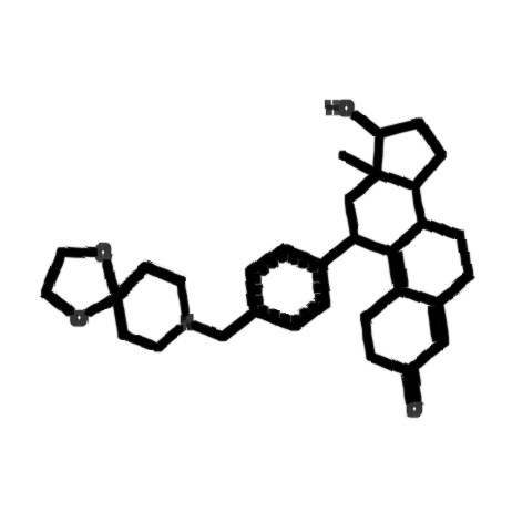 CC12CC(c3ccc(CN4CCC5(CC4)OCCO5)cc3)C3=C4CCC(=O)C=C4CCC3C1CCC2O